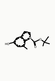 Cc1cc(O)cc2ccn(C(=O)OC(C)(C)C)c12